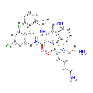 Cc1[nH]c2ccccc2c1C[C@@H](C(=O)NCc1cc(Cl)cc(Cl)c1Sc1ccccc1CN)N(C)C(=O)[C@H](CCCCN)NCON